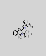 CC(=N)/C(C(=O)/C=C/N(C)C)=C(\O)c1ccccc1